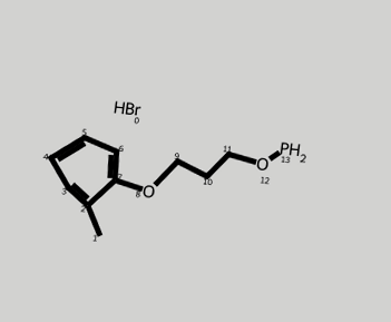 Br.Cc1ccccc1OCCCOP